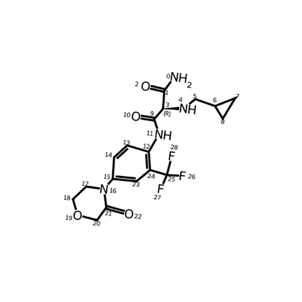 NC(=O)[C@@H](NCC1CC1)C(=O)Nc1ccc(N2CCOCC2=O)cc1C(F)(F)F